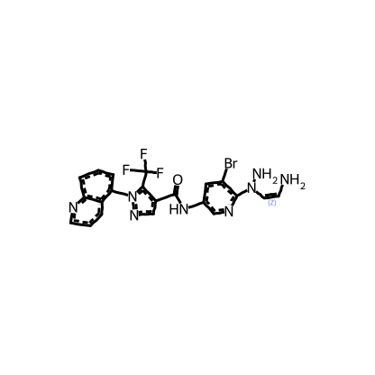 N/C=C\N(N)c1ncc(NC(=O)c2cnn(-c3cccc4ncccc34)c2C(F)(F)F)cc1Br